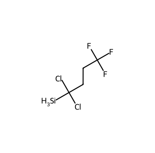 FC(F)(F)CCC([SiH3])(Cl)Cl